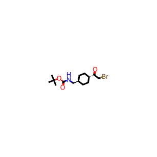 CC(C)(C)OC(=O)NC[C@H]1CC[C@H](C(=O)CBr)CC1